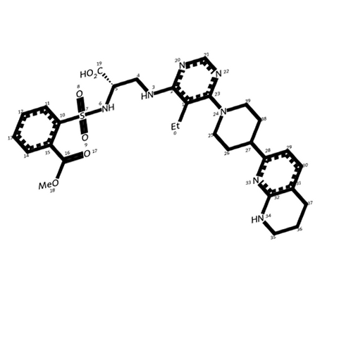 CCc1c(NC[C@H](NS(=O)(=O)c2ccccc2C(=O)OC)C(=O)O)ncnc1N1CCC(c2ccc3c(n2)NCCC3)CC1